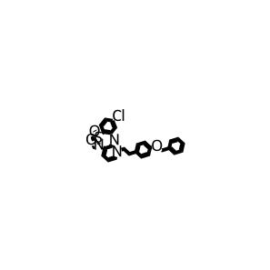 CN1C2=CC=CN(CCc3ccc(OCc4ccccc4)cc3)C2=Nc2cc(Cl)ccc2S1(=O)=O